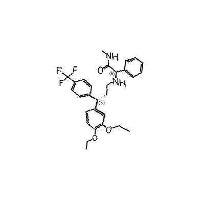 CCOc1ccc([C@@H](CCN[C@@H](C(=O)NC)c2ccccc2)c2ccc(C(F)(F)F)cc2)cc1OCC